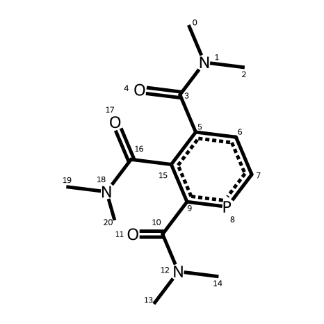 CN(C)C(=O)c1ccpc(C(=O)N(C)C)c1C(=O)N(C)C